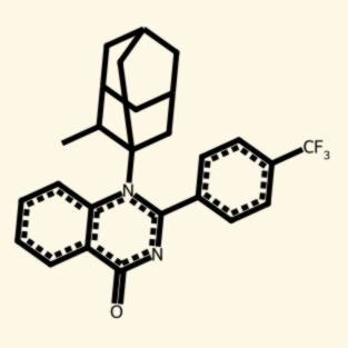 CC1C2CC3CC(C2)CC1(n1c(-c2ccc(C(F)(F)F)cc2)nc(=O)c2ccccc21)C3